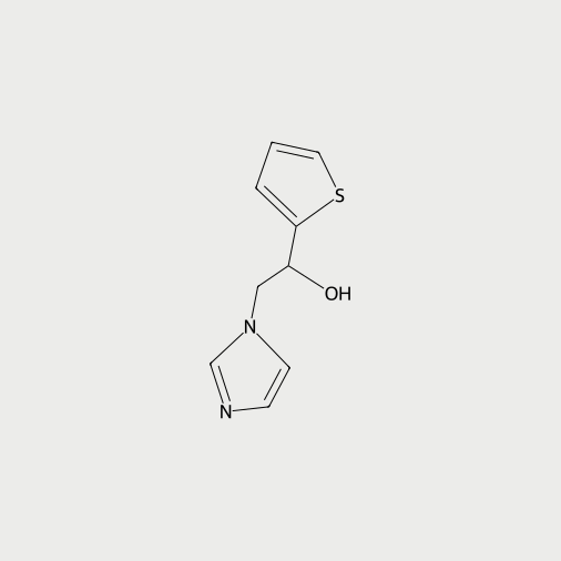 OC(Cn1ccnc1)c1cccs1